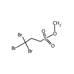 [CH2]OS(=O)(=O)CCC(Br)(Br)Br